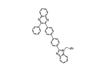 CC(C)Cn1c(-c2ccc(-c3ccc(-c4nc5ccccc5nc4-c4ccccc4)cc3)cc2)nc2ccccc21